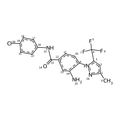 Cc1cc(C(F)(F)F)n(-c2ccc(C(=O)Nc3ccc(Cl)cc3)cc2N)n1